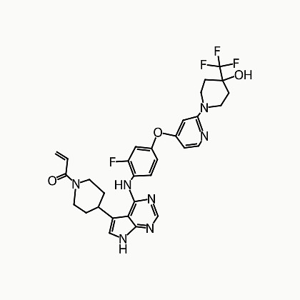 C=CC(=O)N1CCC(c2c[nH]c3ncnc(Nc4ccc(Oc5ccnc(N6CCC(O)(C(F)(F)F)CC6)c5)cc4F)c23)CC1